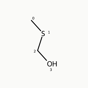 CSCO